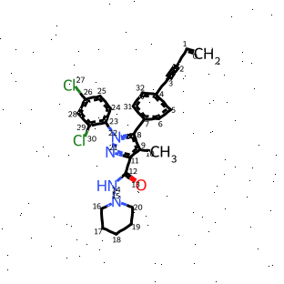 C=CC#Cc1ccc(-c2c(C)c(C(=O)NN3CCCCC3)nn2-c2ccc(Cl)cc2Cl)cc1